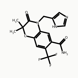 CC1(C)Oc2cc(C(F)(F)F)c(C(N)=O)cc2N(Cc2cnc[nH]2)C1=O